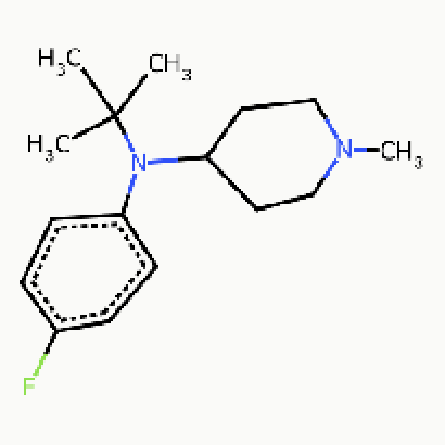 CN1CCC(N(c2ccc(F)cc2)C(C)(C)C)CC1